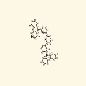 c1cc(-c2cccc(-c3cccc(-n4c5ccccc5c5cnccc54)n3)n2)cc(-n2c3ccccc3c3cnccc32)c1